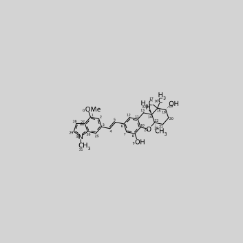 COc1cc(/C=C/c2cc(O)c3c(c2)C[C@@H]2C(C)(C)[C@H](O)CC[C@@]2(C)O3)cc2c1ccn2C